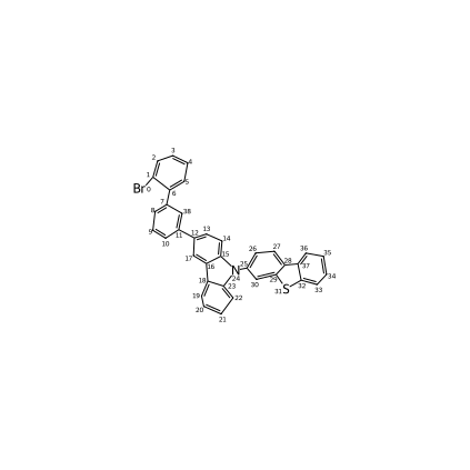 Brc1ccccc1-c1cccc(-c2ccc3c(c2)c2ccccc2n3-c2ccc3c(c2)sc2ccccc23)c1